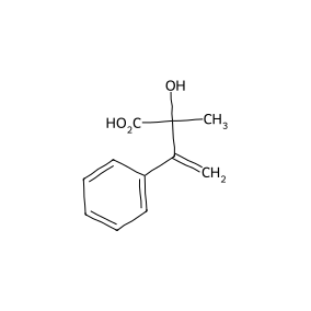 C=C(c1ccccc1)C(C)(O)C(=O)O